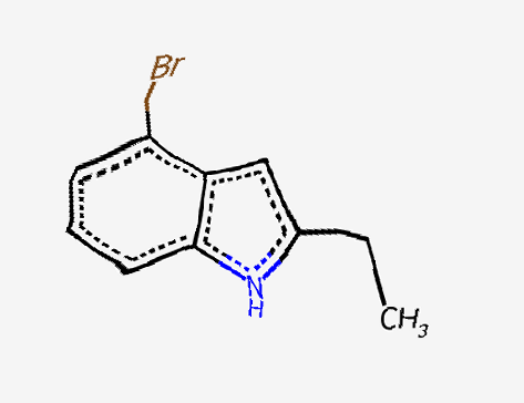 CCc1cc2c(Br)cccc2[nH]1